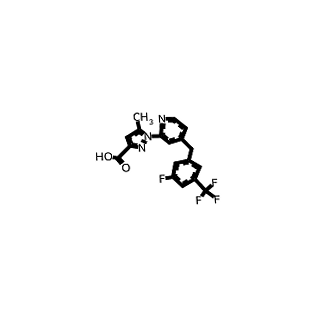 Cc1cc(C(=O)O)nn1-c1cc(Cc2cc(F)cc(C(F)(F)F)c2)ccn1